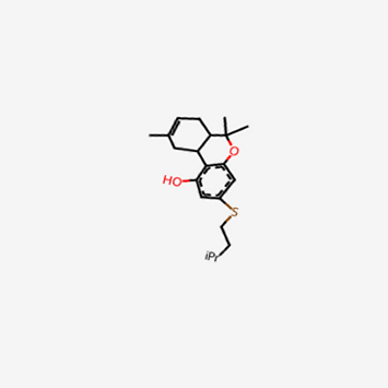 CC1=CCC2C(C1)c1c(O)cc(SCCC(C)C)cc1OC2(C)C